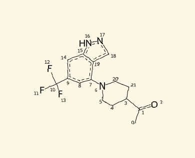 CC(=O)C1CCN(c2cc(C(F)(F)F)cc3[nH]ncc23)CC1